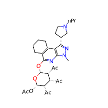 CCCN1CC[C@@H](c2nn(C)c3nc(O[C@H]4O[C@@H](OC(C)=O)[C@@H](C(C)=O)[C@@H](C(C)=O)[C@H]4C(C)=O)c4c(c23)CCCC4)C1